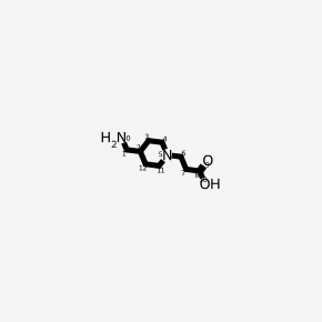 NCC1CCN(CCC(=O)O)CC1